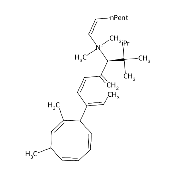 C=C(/C=C\C(=C/C)C1/C=C\C=C/C(C)/C=C\1C)[C@H](C(C)(C)C(C)C)[N+](C)(C)/C=C\CCCCC